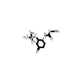 CC(C)(C)OC(=O)N[C@@H]1CCC(=O)CC1O[Si](C)(C)C(C)(C)C